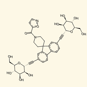 O=C(c1ccno1)N1CCC2(CC1)c1cc(C#C[C@H]3O[C@H](CO)[C@@H](O)[C@H](O)[C@@H]3O)ccc1-c1ccc(C#C[C@H]3O[C@H](CO)[C@@H](O)[C@H](O)[C@@H]3O)cc12